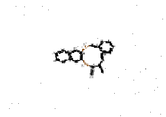 C=C1/C=c2/cccc/c2=C/Sc2cc3ccccc3cc2SC1=C